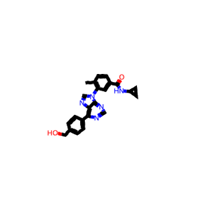 Cc1ccc(C(=O)NC2CC2)cc1-n1cnc2c(-c3ccc(CO)cc3)ncnc21